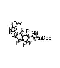 CCCCCCCCCCc1nnc(-c2c(F)c(F)c3c(F)c(F)c(-c4nnc(CCCCCCCCCC)s4)c(F)c3c2F)s1